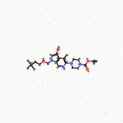 Cc1c(N2CCN(C(=O)OC(C)(C)C)CC2)ncc2c1c(Br)cn2COCC[Si](C)(C)C